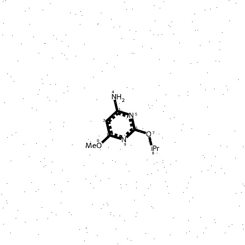 COc1cc(N)nc(OC(C)C)n1